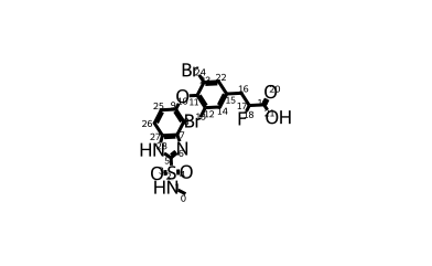 CNS(=O)(=O)c1nc2cc(Oc3c(Br)cc(CC(F)C(=O)O)cc3Br)ccc2[nH]1